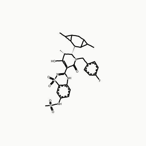 CC1C2CC3C(C)C3C([C@H]3[C@@H](C)C(O)=C(C4=NS(=O)(=O)c5cc(NS(C)(=O)=O)ccc5N4)C(=O)N3Cc3ccc(F)cc3)C12